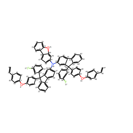 C=Cc1ccc(Oc2ccc(C3(c4cccc(F)c4)c4ccccc4-c4ccc(N(c5ccc6c(c5)C(c5ccc(Oc7ccc(C=C)cc7)cc5)(c5cccc(F)c5)c5ccccc5-6)c5ccc6c(c5)oc5ccccc56)cc43)cc2)cc1